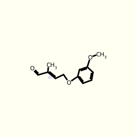 COc1cccc(OC/C=C(\C)C=O)c1